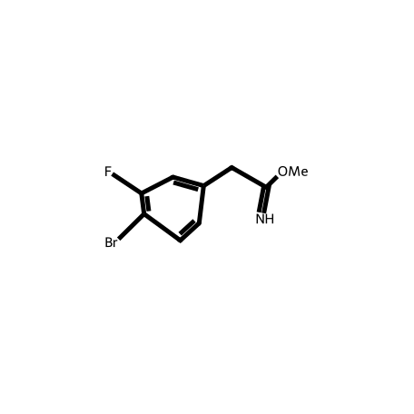 COC(=N)Cc1ccc(Br)c(F)c1